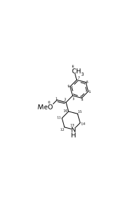 COC=C(c1cccc(C)c1)C1CCNCC1